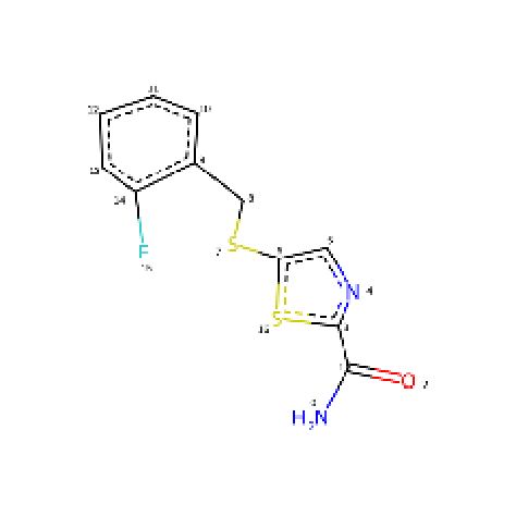 NC(=O)c1ncc(SCc2ccccc2F)s1